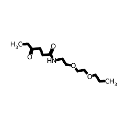 CCCOCCOCCNC(=O)CCC(=O)CC